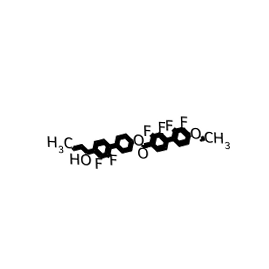 CCCC(O)c1ccc(C2CCC(OC(=O)c3ccc(-c4ccc(OCC)c(F)c4F)c(F)c3F)CC2)c(F)c1F